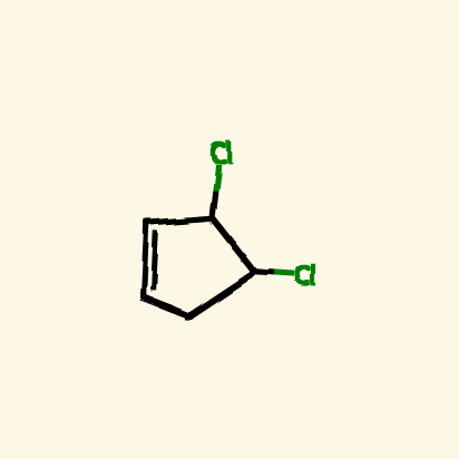 ClC1C=CCC1Cl